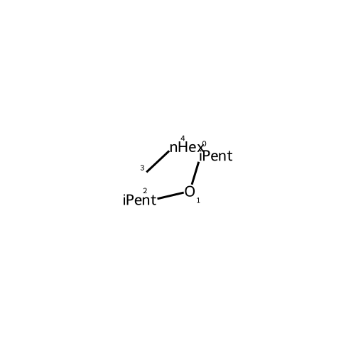 CCCC(C)OC(C)CCC.CCCCCCC